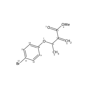 C=C(C(=O)OC)C(C)Oc1ccc(Br)cc1